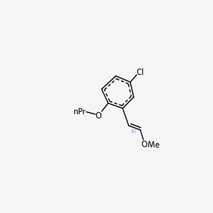 CCCOc1ccc(Cl)cc1/C=C/OC